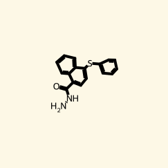 NNC(=O)c1ccc(Sc2ccccc2)c2ccccc12